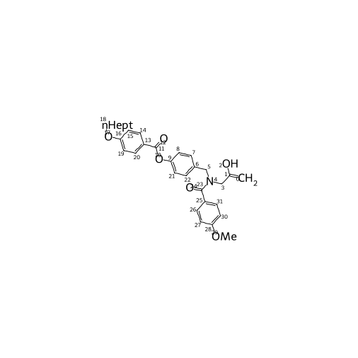 C=C(O)CN(Cc1ccc(OC(=O)c2ccc(OCCCCCCC)cc2)cc1)C(=O)c1ccc(OC)cc1